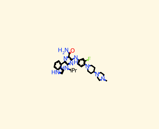 CC(C)Nc1nc(Nc2ccc(N3CCC(N4CCN(C)CC4)CC3)c(F)c2)c(C(N)=O)nc1-c1cccc2[nH]ccc12